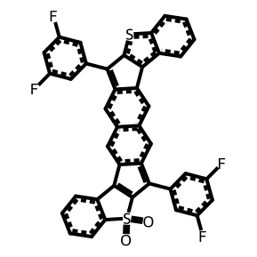 O=S1(=O)C2=C(c3ccccc31)c1cc3cc4c(cc3cc1=C2c1cc(F)cc(F)c1)-c1c(sc2ccccc12)C=4c1cc(F)cc(F)c1